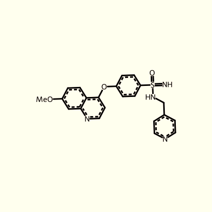 COc1ccc2c(Oc3ccc(S(=N)(=O)NCc4ccncc4)cc3)ccnc2c1